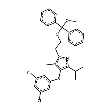 COC(OCCc1nc(C(C)C)c(Sc2cc(Cl)cc(Cl)c2)n1C)(c1ccccc1)c1ccccc1